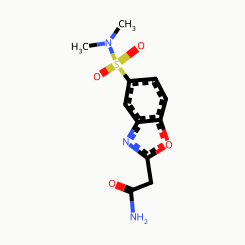 CN(C)S(=O)(=O)c1ccc2oc(CC(N)=O)nc2c1